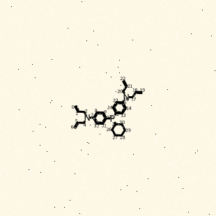 C=CCN(CC=C)c1ccc(P(c2ccc(N(CC=C)CC=C)cc2)C2CCCCC2)cc1